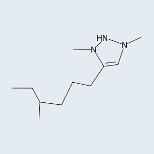 CCC(C)CCCC1=CN(C)NN1C